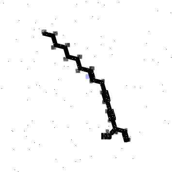 C=CC(O)C#CC#CC/C=C/CCCCCCC